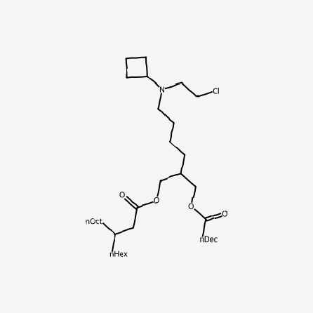 CCCCCCCCCCC(=O)OCC(CCCCN(CCCl)C1CCC1)COC(=O)CC(CCCCCC)CCCCCCCC